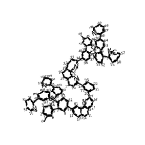 Cc1ccc2c(c1)-c1cc(-c3ccc4ccc5ccc(-c6cccc(-c7ccc8ccc9ccc(-c%10ccc%11c(c%10)-c%10cc(C)ccc%10[Si]%11(c%10cccc(-c%11ccccn%11)c%10)c%10cccc(-c%11ccccn%11)c%10)nc9c8n7)c6)nc5c4c3)ccc1[Si]2(c1cccc(-c2ccccn2)c1)c1cccc(-c2ccccn2)c1